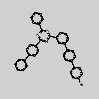 Brc1ccc(-c2ccc(-c3cccc(-c4nc(-c5ccccc5)nc(-c5ccc(-c6ccccc6)cc5)n4)c3)cc2)cc1